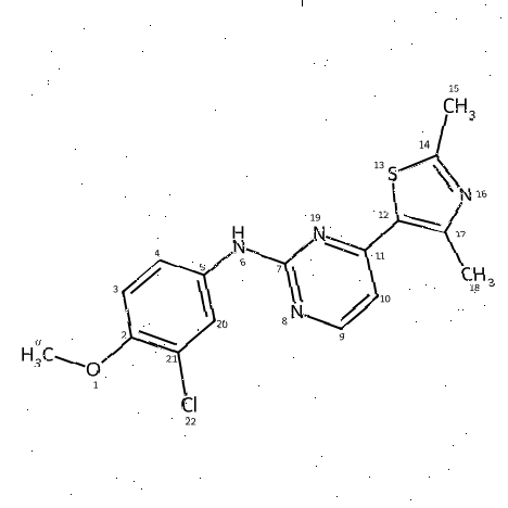 COc1ccc(Nc2nccc(-c3sc(C)nc3C)n2)cc1Cl